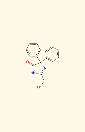 CC(C)CC1=NC(c2ccccc2)(c2ccccc2)C(=O)N1